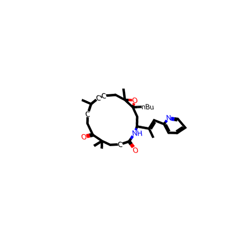 CCCCC12CC(C(C)=Cc3ccccn3)NC(=O)CCC(C)(C)C(=O)CCC(C)CCCC1(C)O2